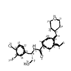 C/C=c1/cc(C(=O)N[C@H](CO)c2ccc(Cl)c(F)c2)ccc1=CC1CCOCC1